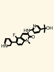 Cn1c(=O)c(Nc2ccc(C(C)(C)O)cn2)cc2c(F)c(C3=CC=CNC3)ccc21